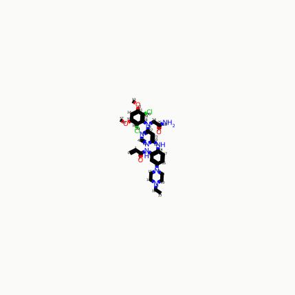 C=CC(=O)Nc1cc(N2CCN(CC)CC2)ccc1Nc1cc(N(CC(N)=O)c2c(Cl)c(OC)cc(OC)c2Cl)ncn1